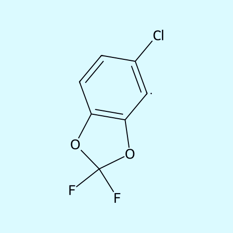 FC1(F)Oc2[c]c(Cl)ccc2O1